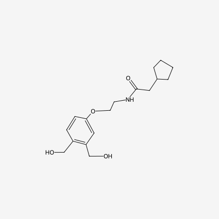 O=C(CC1CCCC1)NCCOc1ccc(CO)c(CO)c1